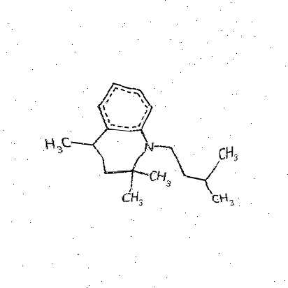 CC(C)CCN1c2ccccc2C(C)CC1(C)C